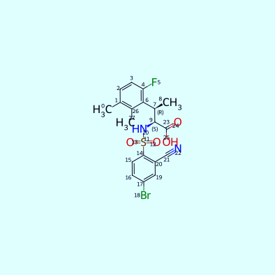 Cc1ccc(F)c([C@@H](C)[C@H](NS(=O)(=O)c2ccc(Br)cc2C#N)C(=O)O)c1C